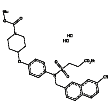 CCOC(=O)CCS(=O)(=O)N(Cc1ccc2ccc(C#N)cc2c1)c1ccc(OC2CCN(C(=O)OC(C)(C)C)CC2)cc1.Cl.Cl